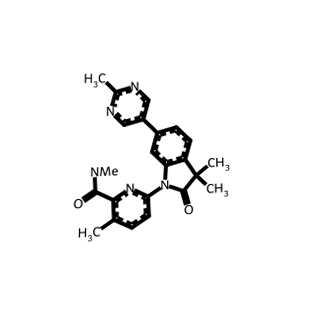 CNC(=O)c1nc(N2C(=O)C(C)(C)c3ccc(-c4cnc(C)nc4)cc32)ccc1C